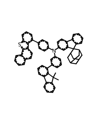 CC1(C)c2ccccc2-c2cccc(-c3cccc(N(c4ccc(-c5cccc6sc7c8ccccc8ccc7c56)cc4)c4ccc5c(c4)C4(c6ccccc6-5)C5CC6CC(C5)CC4C6)c3)c21